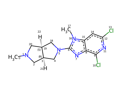 CN1C[C@@H]2CN(c3nc4c(Cl)nc(Cl)cc4n3C)C[C@@H]2C1